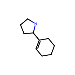 C1=C(C2CCC[N]2)CCCC1